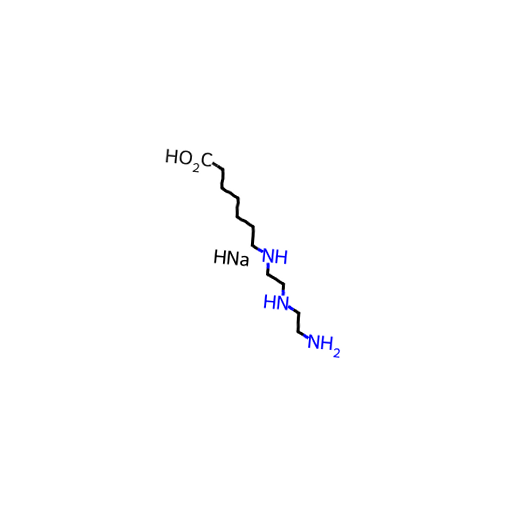 NCCNCCNCCCCCCC(=O)O.[NaH]